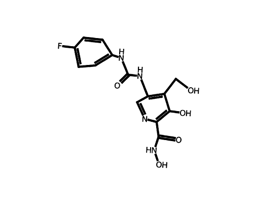 O=C(Nc1ccc(F)cc1)Nc1cnc(C(=O)NO)c(O)c1CO